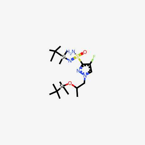 CC(Cn1cc(F)c(S(N)(=O)=N[Si](C)(C)C(C)(C)C)n1)O[Si](C)(C)C(C)(C)C